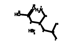 Br.CC(C)C[C@H](CN)CC(=O)O